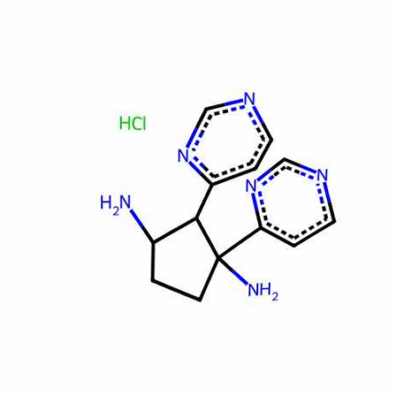 Cl.NC1CCC(N)(c2ccncn2)C1c1ccncn1